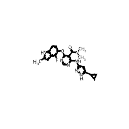 Cc1cc2c(F)c(Oc3ncnc(Nc4cc(C5CC5)[nH]n4)c3C(=O)N(C)C)ccc2[nH]1